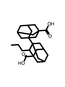 CCCC1C2(C(=O)O)CC3CC(C2)CC1(C12CC4CC(CC(C(=O)O)(C4)C1)C2)C3